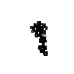 C[C@H]1[C@H](NC(=O)c2ccc(-c3nc(Cl)co3)s2)C2CCN1CC2